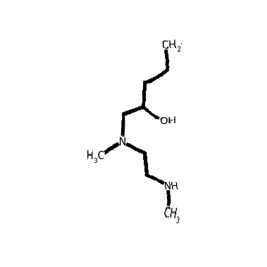 [CH2]CCC(O)CN(C)CCNC